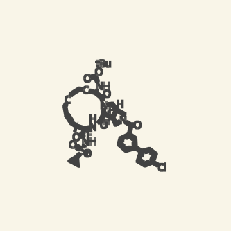 C[C@H]1/C=C\CCCCC[C@@H](NC(=O)OC(C)(C)C)C(=O)N2C[C@@H]3CN(C(=O)c4cccc(-c5ccc(Cl)cc5)c4)C[C@@H]3[C@H]2C(=O)N[C@@]1(F)C(=O)NS(=O)(=O)C1CC1